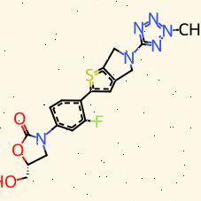 Cn1nnc(N2Cc3cc(-c4ccc(N5C[C@H](CO)OC5=O)cc4F)sc3C2)n1